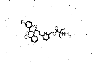 CCC(N)(CC)C(=O)OCc1cccc(/C=C/c2nc3ccc(F)cc3c(=O)n2-c2ccccc2Cl)n1